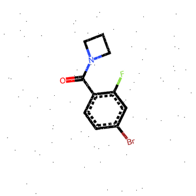 O=C(c1ccc(Br)cc1F)N1CCC1